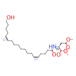 COC(=O)C[C@H](NC(=O)CCC/C=C\CCCCCCC/C=C\CCCCO)C(=O)OC